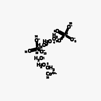 O.O.O.O.O.O.O=P([O-])([O-])[O-].O=[N+]([O-])[O-].[Co+4]